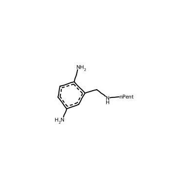 CCCCCNCc1cc(N)ccc1N